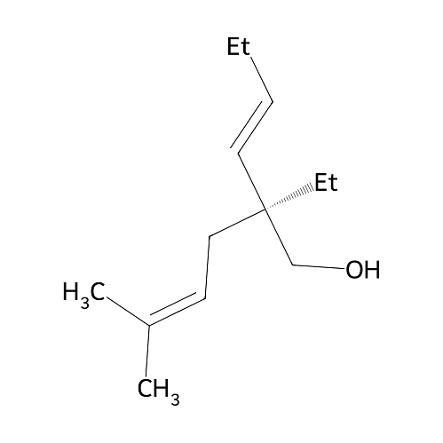 CC/C=C/[C@@](CC)(CO)CC=C(C)C